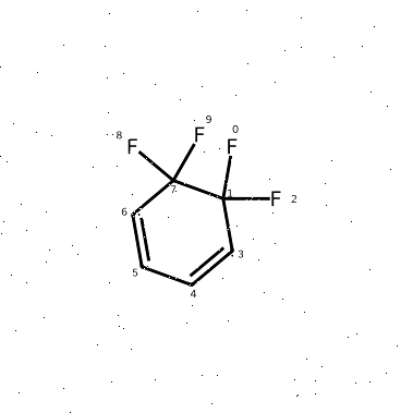 FC1(F)[C]=CC=[C]C1(F)F